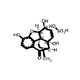 CN1CC[C@]23c4c5ccc(O)c4O[C@H]2[C@@H](O)C=C[C@@]3(O)[C@H]1C5=O.O=S(=O)(O)O